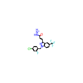 NNC(=O)C=Cc1nn(Cc2ccc(Cl)cc2F)c2ccc(C(F)(F)F)cc12